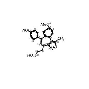 COc1ccc2c(c1)C(c1ccc(C#N)cc1)=N[C@H](CCS(=O)(=O)O)c1nnc(C)n1-2